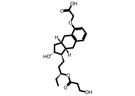 CC[C@@H](CC[C@@H]1[C@H]2Cc3cccc(OCC(=O)O)c3C[C@H]2C[C@H]1O)OC(=O)CCO